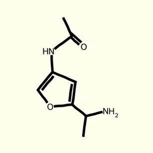 CC(=O)Nc1coc(C(C)N)c1